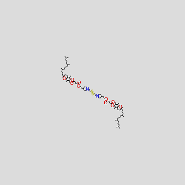 Cc1c(C)c2c(c(C)c1OC(=O)CCC(=O)OCCC1CCN(CCSSCCN3CCC(CCOC(=O)CCC(=O)Oc4c(C)c(C)c5c(c4C)CCC(C)(CCCC(C)CCCC(C)CCCC(C)C)O5)CC3)CC1)CCC(C)(CCCC(C)CCCC(C)CCCC(C)C)O2